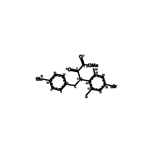 COC(=O)C(=O)N(Cc1ccc(C(C)(C)C)cc1)c1c(C)cc(Br)cc1C